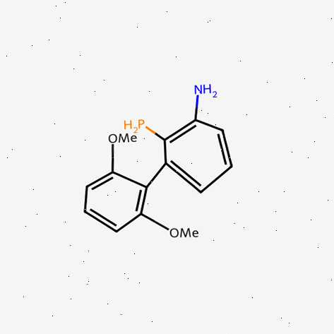 COc1cccc(OC)c1-c1cccc(N)c1P